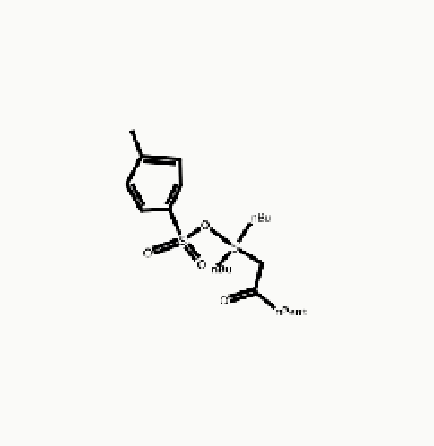 CCCCCC(=O)CS(CCCC)(CCCC)OS(=O)(=O)c1ccc(C)cc1